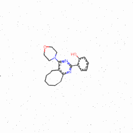 Oc1ccccc1-c1nc2c(c(N3CCOCC3)n1)CCCCCC2